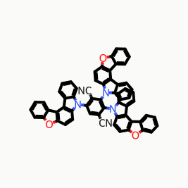 N#Cc1cc(-n2c3ccccc3c3c4c(ccc32)oc2ccccc24)c(C#N)c(-n2c3ccccc3c3c4c(ccc32)oc2ccccc24)c1-n1c2ccccc2c2c3c(ccc21)oc1ccccc13